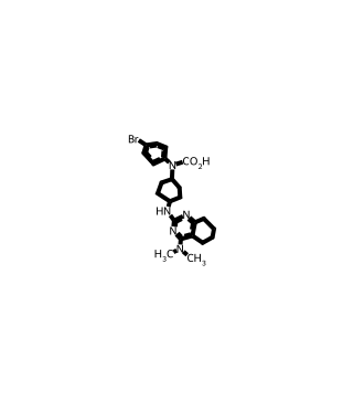 CN(C)c1nc(NC2CCC(N(C(=O)O)c3ccc(Br)cc3)CC2)nc2c1CCCC2